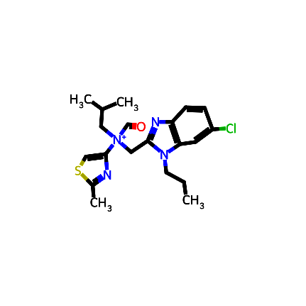 CCCn1c(C[N+](C=O)(CC(C)C)c2csc(C)n2)nc2ccc(Cl)cc21